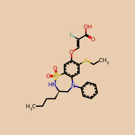 CCCC[C@@H]1CN(c2ccccc2)c2cc(SCC)c(O/C=C(\F)C(=O)O)cc2S(=O)(=O)N1